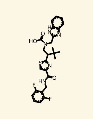 CC(C)(C)C(CN(Cc1nc2ccccc2[nH]1)C(=O)O)c1nc(C(=O)NCc2c(F)cccc2F)cs1